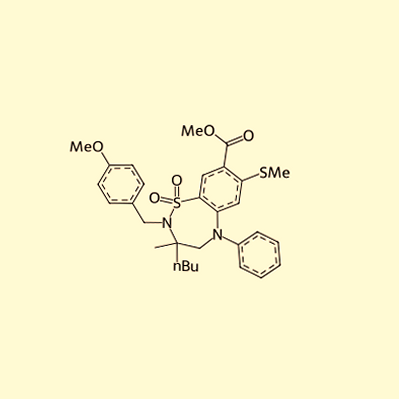 CCCCC1(C)CN(c2ccccc2)c2cc(SC)c(C(=O)OC)cc2S(=O)(=O)N1Cc1ccc(OC)cc1